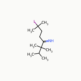 CC(C)C(C)(C)C(=N)CCC(C)(C)I